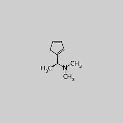 C[C@@H](C1=CC=CC1)N(C)C